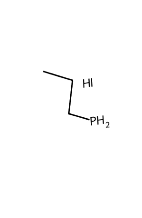 CCCP.I